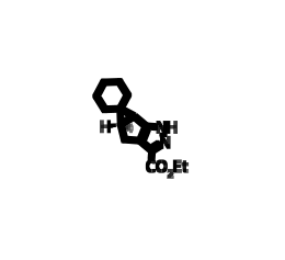 CCOC(=O)c1n[nH]c2c1C[C@@H]1C2C12CCCCC2